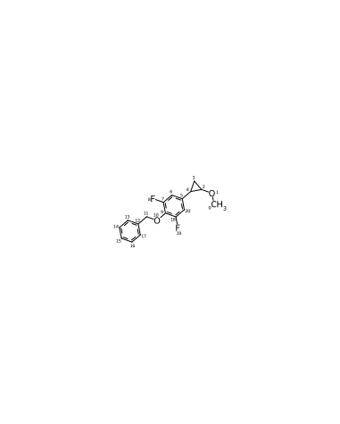 COC1CC1c1cc(F)c(OCc2ccccc2)c(F)c1